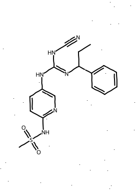 CCC(N=C(NC#N)Nc1ccc(NS(C)(=O)=O)nc1)c1ccccc1